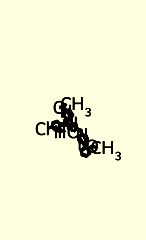 COc1ccccc1N1CCN(CC(O)Cn2nc(-c3ccc(Cl)cc3F)c3c2CCN(C(C)=O)C3)CC1